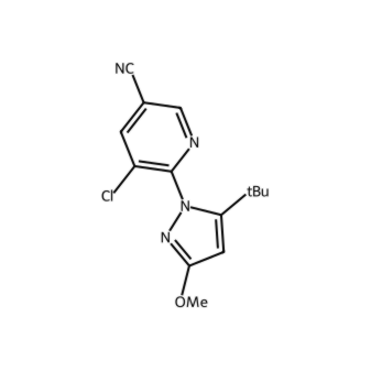 COc1cc(C(C)(C)C)n(-c2ncc(C#N)cc2Cl)n1